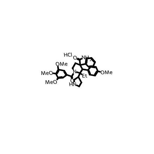 CCC1(C2CCNC2)C(c2ccc(OC)cc2)C(C(N)=O)(c2ccccc2)CCN1C(=O)c1cc(OC)c(OC)c(OC)c1.Cl